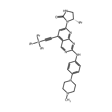 CC(C)[C@H]1CNC(=O)N1c1cc(C#C[Si](C(C)C)(C(C)C)C(C)C)c2cnc(Nc3ccc(N4CCN(C)CC4)cc3)nc2n1